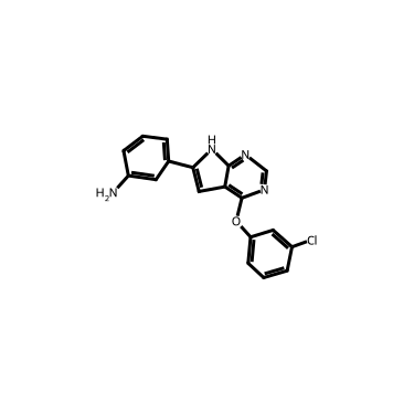 Nc1cccc(-c2cc3c(Oc4cccc(Cl)c4)ncnc3[nH]2)c1